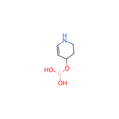 OB(O)OC1C=CNCC1